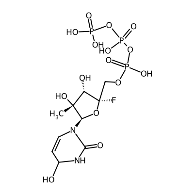 C[C@]1(O)[C@H](N2C=CC(O)NC2=O)O[C@](F)(COP(=O)(O)OP(=O)(O)OP(=O)(O)O)[C@H]1O